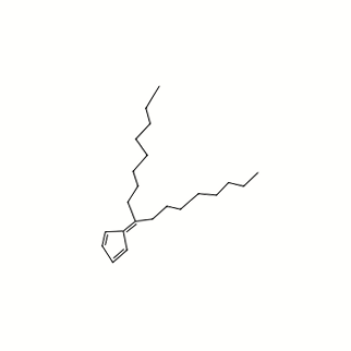 CCCCCCCCC(CCCCCCCC)=C1C=CC=C1